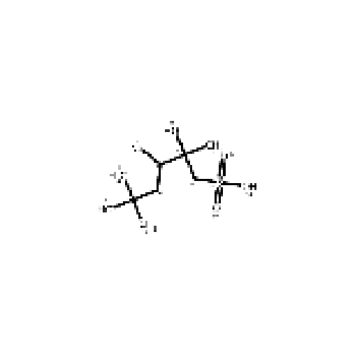 CC(C)(O)C[CH]([Na])C(C)(O)CS(=O)(=O)O